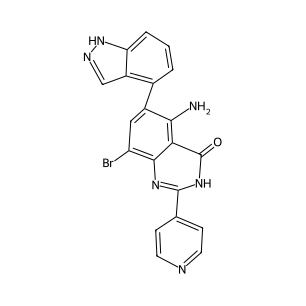 Nc1c(-c2cccc3[nH]ncc23)cc(Br)c2nc(-c3ccncc3)[nH]c(=O)c12